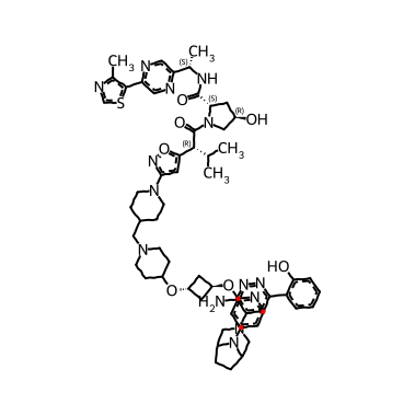 Cc1ncsc1-c1cnc([C@H](C)NC(=O)[C@@H]2C[C@@H](O)CN2C(=O)[C@@H](c2cc(N3CCC(CN4CCC(O[C@H]5C[C@H](Oc6cc(N7C8CCC7CN(c7cc(-c9ccccc9O)nnc7N)C8)ccn6)C5)CC4)CC3)no2)C(C)C)cn1